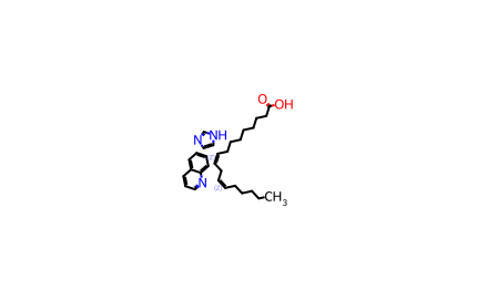 CCCCC/C=C\C/C=C\CCCCCCCC(=O)O.c1c[nH]cn1.c1ccc2ncccc2c1